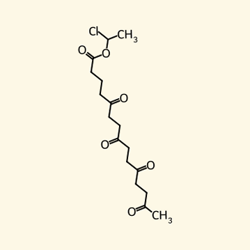 CC(=O)CCC(=O)CCC(=O)CCC(=O)CCCC(=O)OC(C)Cl